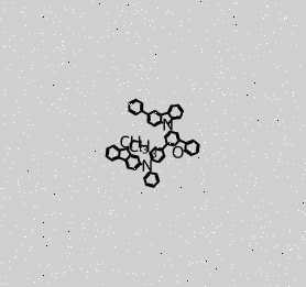 CC1(C)c2ccccc2-c2ccc(N(c3ccccc3)c3ccc(-c4cc(-n5c6ccccc6c6cc(-c7ccccc7)ccc65)cc5c4oc4ccccc45)cc3)cc21